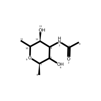 CC(=O)NC1C(O)[C@@H](C)OC(C)[C@H]1O